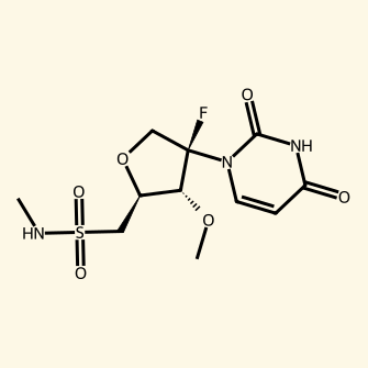 CNS(=O)(=O)C[C@H]1OC[C@](F)(n2ccc(=O)[nH]c2=O)[C@@H]1OC